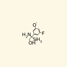 COc1cc(F)cc(C(N)([SiH3])CO)c1